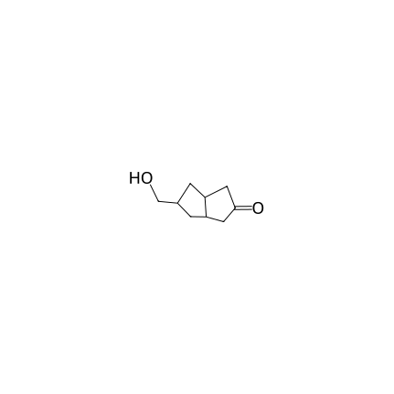 O=C1CC2CC(CO)CC2C1